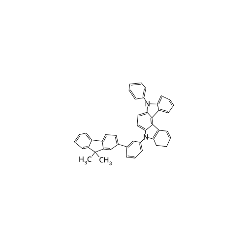 CC1(C)c2ccccc2-c2ccc(-c3cccc(-n4c5c(c6c7c8ccccc8n(-c8ccccc8)c7ccc64)C=CCC5)c3)cc21